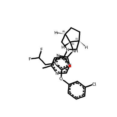 Cc1cc(N2C[C@H]3CC[C@@H](C2)[C@@H]3Nc2nc(Oc3cccc(Cl)c3)n(CC(F)F)n2)ncn1